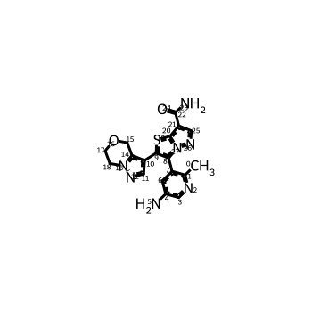 Cc1ncc(N)cc1-c1c(-c2cnn3c2COCC3)sc2c(C(N)=O)cnn12